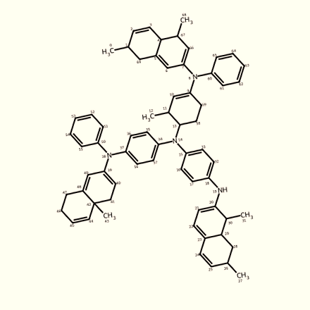 CC1C=CC2C(=CC(N(C3=CC(C)C(N(c4ccc(NC5=CC=C6C=CC(C)CC6C5C)cc4)c4ccc(N(C5=CCC6(C)C=CCCC6=C5)c5ccccc5)cc4)CC3)c3ccccc3)=CC2C)C1